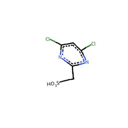 O=S(=O)(O)Cc1nc(Cl)cc(Cl)n1